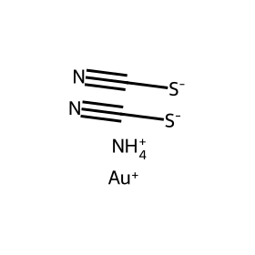 N#C[S-].N#C[S-].[Au+].[NH4+]